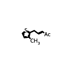 CC(=O)C=CCc1sccc1C